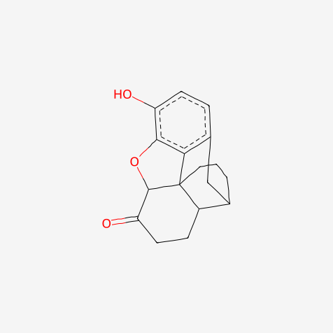 O=C1CCC2C3CCCC24c2c(ccc(O)c2OC14)C3